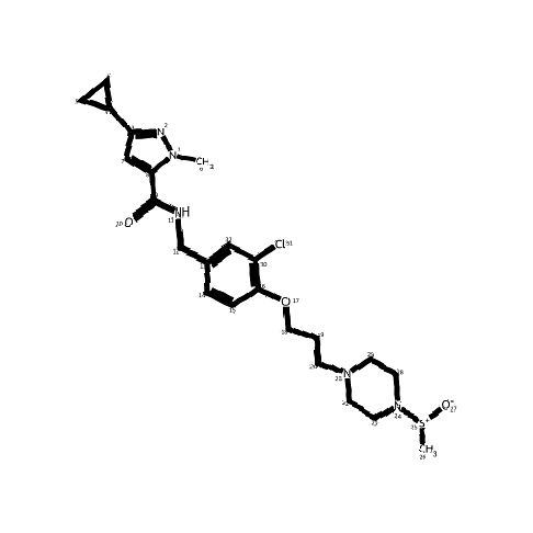 Cn1nc(C2CC2)cc1C(=O)NCc1ccc(OCCCN2CCN([S+](C)[O-])CC2)c(Cl)c1